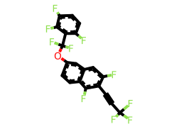 Fc1ccc(F)c(C(F)(F)Oc2ccc3c(F)c(C#CC(F)(F)F)c(F)cc3c2)c1F